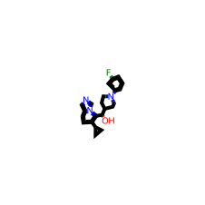 OC(c1c(C2CC2)ccc2cncn12)C1CCN(c2cccc(F)c2)CC1